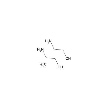 NCCO.NCCO.S